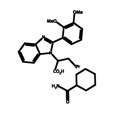 COc1cccc(-c2nc3ccccc3n2C(CC(C)C)C(=O)O)c1OC.NC(=O)C1CCCCC1